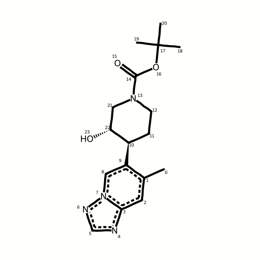 Cc1cc2ncnn2cc1[C@@H]1CCN(C(=O)OC(C)(C)C)C[C@H]1O